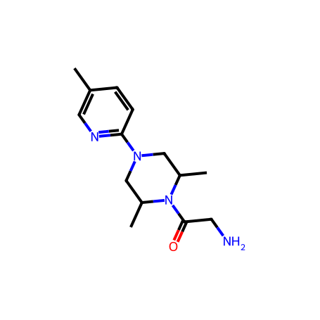 Cc1ccc(N2CC(C)N(C(=O)CN)C(C)C2)nc1